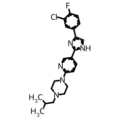 CC(C)CN1CCN(c2ccc(-c3nc(-c4ccc(F)c(Cl)c4)c[nH]3)cn2)CC1